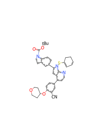 CC(C)(C)OC(=O)n1ccc2cc(-c3cc4c(-c5ccc(OC6CCOCC6)c(C#N)c5)ccnc4n3SC3=CC=CCC3)ccc21